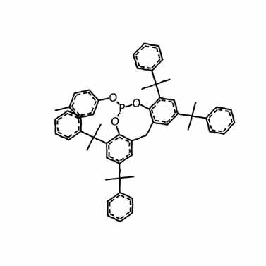 Cc1ccc(OP2Oc3c(cc(C(C)(C)c4ccccc4)cc3C(C)(C)c3ccccc3)Cc3cc(C(C)(C)c4ccccc4)cc(C(C)(C)c4ccccc4)c3O2)cc1